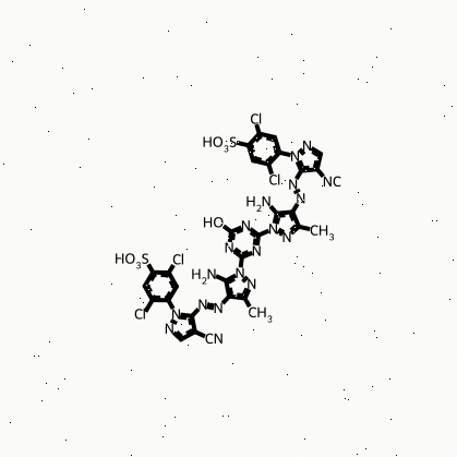 [C-]#[N+]c1cnn(-c2cc(Cl)c(S(=O)(=O)O)cc2Cl)c1N=Nc1c(C)nn(-c2nc(O)nc(-n3nc(C)c(N=Nc4c(C#N)cnn4-c4cc(Cl)c(S(=O)(=O)O)cc4Cl)c3N)n2)c1N